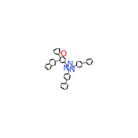 c1ccc(-c2ccc(-c3nc(-c4ccc(-c5ccccc5)cc4)nc(-c4cc(-c5ccc6ccccc6c5)c5c(c4)oc4ccccc45)n3)cc2)cc1